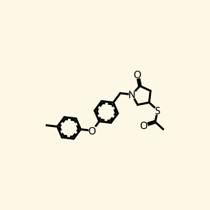 CC(=O)SC1CC(=O)N(Cc2ccc(Oc3ccc(C)cc3)cc2)C1